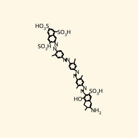 Cc1cc(N=Nc2cc(C)c(N=Nc3c(S(=O)(=O)O)cc4c(c3O)CC(C)C(N)=C4)cc2C)ccc1N=Nc1ccc(N=Nc2cc3c(S(=O)(=O)O)cc(S(=O)(=O)O)cc3cc2S(=O)(=O)O)c(C)c1